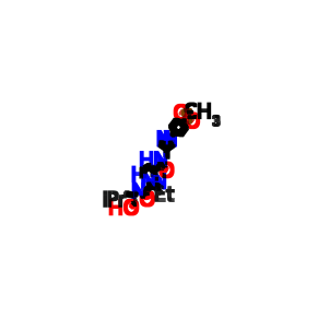 CCc1nc2c(C(=O)NCc3cnn(-c4ccc(S(C)(=O)=O)cc4)c3)cccn2c1C(=O)N[C@H](CO)CC(C)C